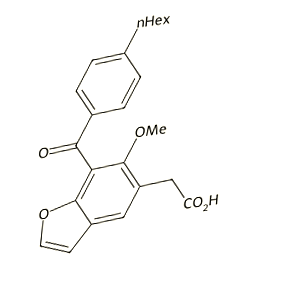 CCCCCCc1ccc(C(=O)c2c(OC)c(CC(=O)O)cc3ccoc23)cc1